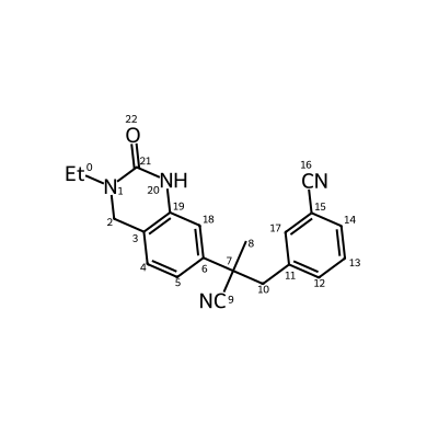 CCN1Cc2ccc(C(C)(C#N)Cc3cccc(C#N)c3)cc2NC1=O